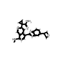 CNc1ncc(-c2nc3cc(C4COC4)ccc3o2)c2cc(C3(C(N)=O)CC3)ncc12